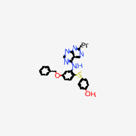 CC(C)c1ncc2c(Nc3cc(OCc4ccccc4)ccc3Sc3ccc(O)cc3)ncnc2n1